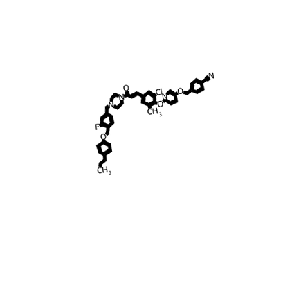 CCCc1ccc(OCc2ccc(CN3CCN(C(=O)C=Cc4cc(C)c(Oc5ccc(OCc6ccc(C#N)cc6)cn5)c(Cl)c4)CC3)cc2F)cc1